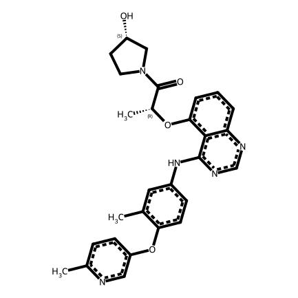 Cc1ccc(Oc2ccc(Nc3ncnc4cccc(O[C@H](C)C(=O)N5CC[C@H](O)C5)c34)cc2C)cn1